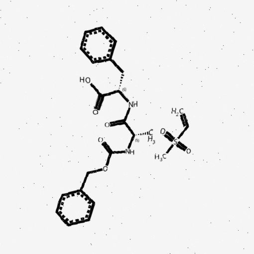 C=CS(C)(=O)=O.C[C@H](NC(=O)OCc1ccccc1)C(=O)N[C@@H](Cc1ccccc1)C(=O)O